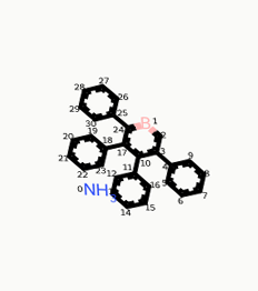 N.b1cc(-c2ccccc2)c(-c2ccccc2)c(-c2ccccc2)c1-c1ccccc1